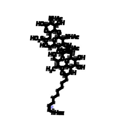 CCCCCC/C=C\CCCCCCCC(=O)NC1C(O[C@@H](C)C(CO)OC(OC2C(CO)OC(OC3C(COS(=O)(=O)O)OC(O)C(NC(C)=O)C3O)C(NC(C)=O)C2O)[C@H](O)NC(C)=O)OC(COC(C)=O)C(O)C1O